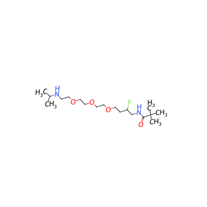 CC(C)NCCOCCOCCOCCC(F)CNC(=O)C(C)(C)C